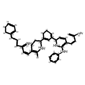 C=C(/C=C\C1=C(Nc2ccccc2)NC(C2=CCCC(C3CCC(/C=C\C(=N)CCCC4=CC=CCC4)=C(C)N3)=C2)C=C1)CCC